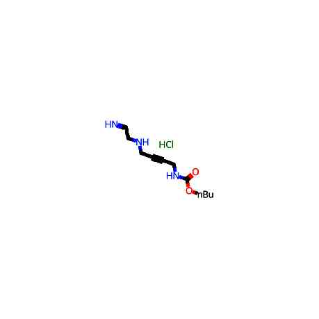 CCCCOC(=O)NCC#CCNCC=N.Cl